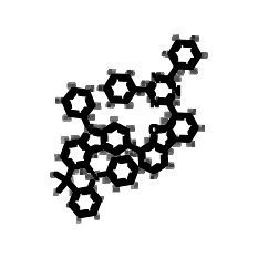 CC1(C)c2ccccc2N(c2ccccc2)c2c1ccc1c2c2cc(-c3cccc4c3oc3c(-c5nc(-c6ccccc6)nc(-c6ccccc6)n5)cccc34)ccc2n1-c1ccccc1